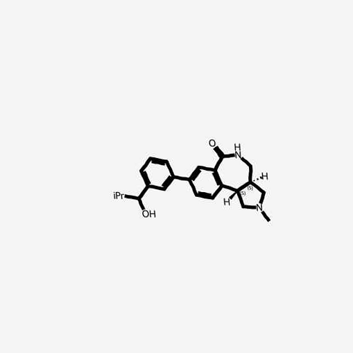 CC(C)C(O)c1cccc(-c2ccc3c(c2)C(=O)NC[C@H]2CN(C)C[C@H]32)c1